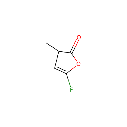 CC1C=C(F)OC1=O